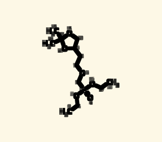 CCOP(=O)(COCCC1COC(C)(C)O1)OCC